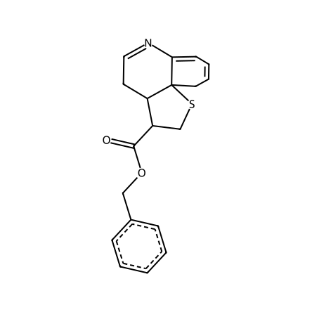 O=C(OCc1ccccc1)C1CSC23CC=CC=C2N=CCC13